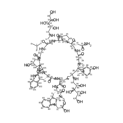 CC(C)C[C@@H]1NC(=O)[C@H](CNC[C@@H](O)[C@H](O)[C@H](O)CO)NC(=O)[C@@H]2CCCN2C(=O)[C@H](CC(N)=O)NC(=O)[C@H](C)N(C)C(=O)[C@H](Cc2ccc(O)cc2)C(NC[C@@H](O)[C@H](O)[C@H](O)CO)CC[C@@H](C(=O)N[C@@H](Cc2cn(CC(=O)O)c3ccccc23)C(=O)N(C)C)NC(=O)[C@H](Cc2c[nH]c3ccccc23)NC(=O)[C@@H]2C[C@@H](O)CN2C1=O